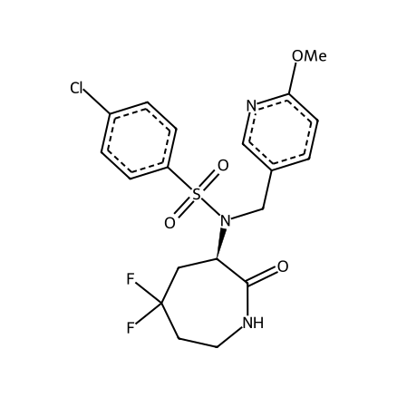 COc1ccc(CN([C@@H]2CC(F)(F)CCNC2=O)S(=O)(=O)c2ccc(Cl)cc2)cn1